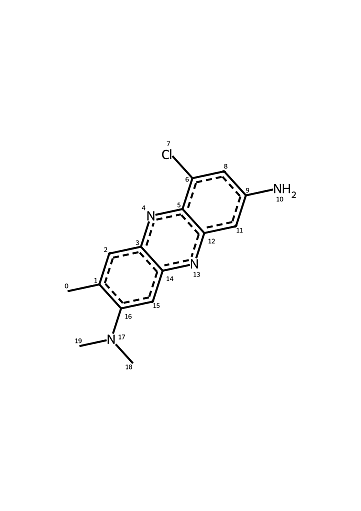 Cc1cc2nc3c(Cl)cc(N)cc3nc2cc1N(C)C